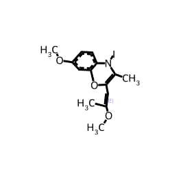 CO/C(C)=C/C1=C(C)N(I)c2ccc(OC)cc2O1